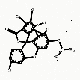 NP(O)Oc1cc2c(c(Cl)c1Cl)C1(OC(=O)c3c(Cl)c(Cl)c(Cl)c(Cl)c31)c1ccc(O)cc1O2